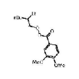 CCCCC([CH]OOC(=O)c1ccc(OC)c(OC)c1)CC